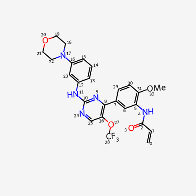 C=CC(=O)Nc1cc(-c2nc(Nc3cccc(N4CCOCC4)c3)ncc2OC(F)(F)F)ccc1OC